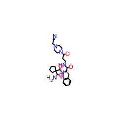 N#CCN1CCN(C(=O)CCNC(=O)[C@@H](Cc2ccccc2)NC(=O)C2(C(N)=O)CCCC2)CC1